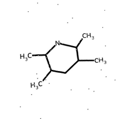 CC1CC(C)C(C)[N]C1C